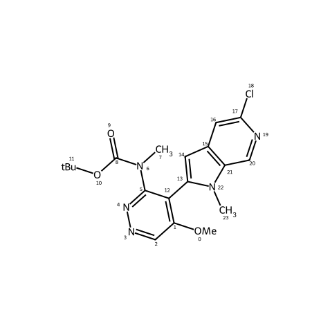 COc1cnnc(N(C)C(=O)OC(C)(C)C)c1-c1cc2cc(Cl)ncc2n1C